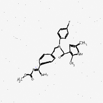 COC(=O)/N=C(\N)c1ccc(CN(C(=O)c2cc(C)[nH]c2C)c2ccc(F)cc2)cc1